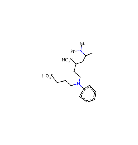 CCN(C(C)C)C(C)CC(CCN(CCCS(=O)(=O)O)c1ccccc1)S(=O)(=O)O